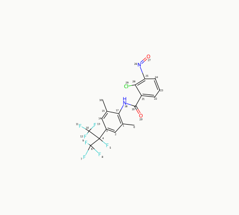 Cc1cc(C(F)(C(F)(F)F)C(F)(F)F)cc(C)c1NC(=O)c1cccc(N=O)c1Cl